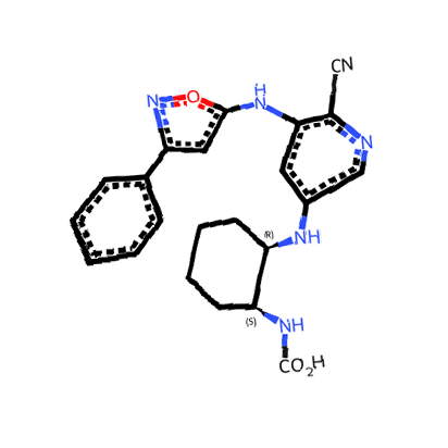 N#Cc1ncc(N[C@@H]2CCCC[C@@H]2NC(=O)O)cc1Nc1cc(-c2ccccc2)no1